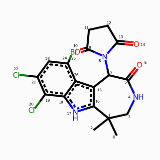 CC1(C)CNC(=O)C(N2C(=O)CCC2=O)c2c1[nH]c1c(Cl)c(Cl)cc(Br)c21